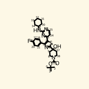 CC(C)(C)OC(=O)N1CCC(O)(c2nc(-c3ccc(F)cc3)c(-c3ccnc(NC4CCCCC4)n3)s2)CC1